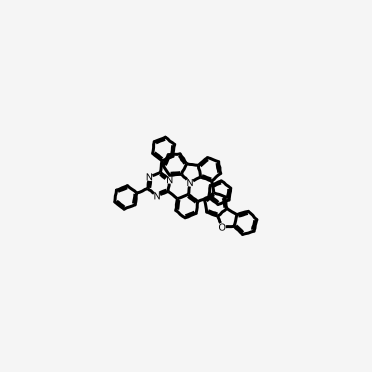 c1ccc(-c2nc(-c3ccccc3)nc(-c3cccc(-c4ccccc4)c3-n3c4ccccc4c4cccc(-c5ccc6oc7ccccc7c6c5)c43)n2)cc1